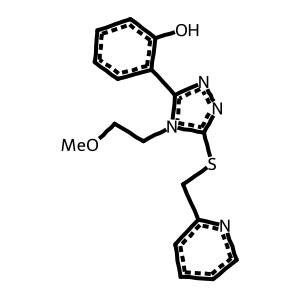 COCCn1c(SCc2ccccn2)nnc1-c1ccccc1O